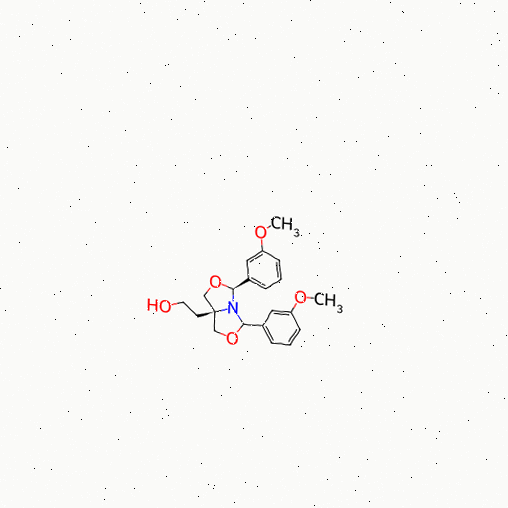 COc1cccc(C2OC[C@]3(CCO)CO[C@@H](c4cccc(OC)c4)N23)c1